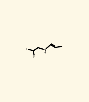 CC=CNCC(F)F